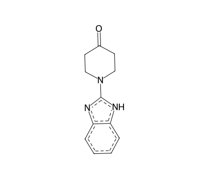 O=C1CCN(c2nc3ccccc3[nH]2)CC1